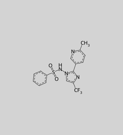 Cc1ccc(-c2nc(C(F)(F)F)cn2NS(=O)(=O)c2ccccc2)cn1